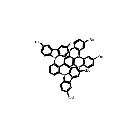 CC(C)(C)c1ccc2c(c1)B1c3cc(C(C)(C)C)ccc3Oc3cc(-c4c(-n5c6ccc(C(C)(C)C)cc6c6cc(C(C)(C)C)ccc65)cccc4-n4c5ccc(C(C)(C)C)cc5c5cc(C(C)(C)C)ccc54)cc(c31)O2